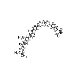 Cc1cc(-c2ccnc(Nc3ccc(N4CCC(CN5CCC(c6ccc(OC7CCC(=O)NC7=O)cc6)CC5)CC4)cc3)n2)ccc1CNC(=O)N1CC(OC(C)C)C1